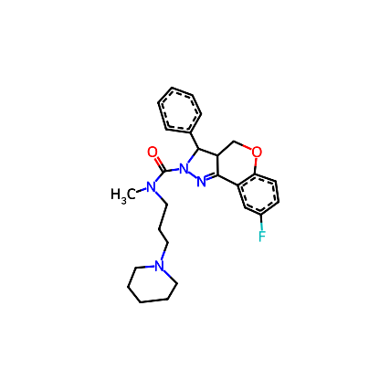 CN(CCCN1CCCCC1)C(=O)N1N=C2c3cc(F)ccc3OCC2C1c1ccccc1